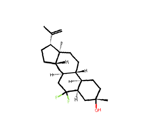 C=C(C)[C@H]1CC[C@H]2[C@@H]3CC(F)(F)[C@@H]4C[C@@](C)(O)CC[C@@H]4[C@H]3CC[C@]12C